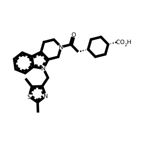 Cc1nc(Cn2c3c(c4ccccc42)CCN(C(=O)C[C@H]2CC[C@@H](C(=O)O)CC2)C3)c(C)s1